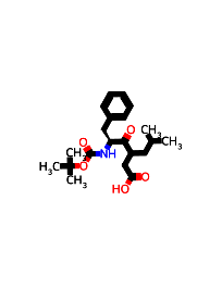 CC(C)CC(CC(=O)O)C(=O)[C@H](Cc1ccccc1)NC(=O)OC(C)(C)C